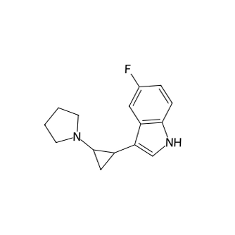 Fc1ccc2[nH]cc(C3CC3N3CCCC3)c2c1